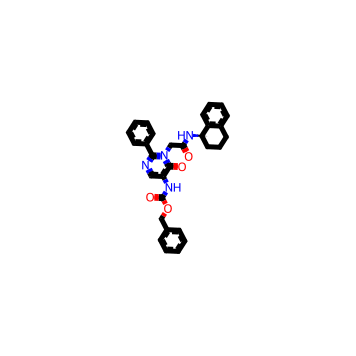 O=C(Cn1c(-c2ccccc2)ncc(NC(=O)OCc2ccccc2)c1=O)N[C@@H]1CCCc2ccccc21